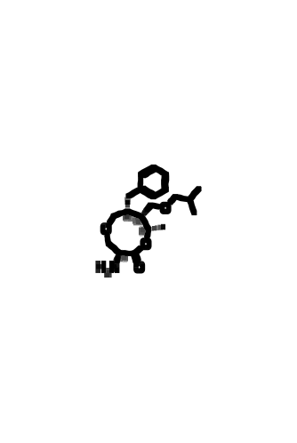 CC(C)COC[C@@H]1[C@@H](Cc2ccccc2)COC[C@H](N)C(=O)O[C@H]1C